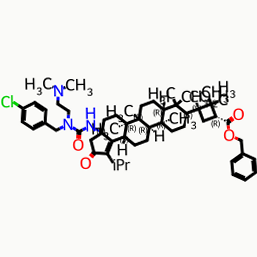 CC(C)C1=C2[C@H]3CC[C@@H]4[C@]5(C)CC[C@H]([C@@]6(C(=O)O)C[C@@H](C(=O)OCc7ccccc7)C6(C)C)C(C)(C)[C@H]5CC[C@@]4(C)[C@]3(C)CC[C@@]2(NC(=O)N(CCN(C)C)Cc2ccc(Cl)cc2)CC1=O